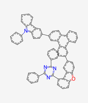 c1ccc(-c2nc(-c3ccccc3)nc(-c3cccc4oc5ccc(-c6ccc7c(c6)c6ccccc6c6ccc(-c8ccc9c(c8)c8ccccc8n9-c8ccccc8)cc67)cc5c34)n2)cc1